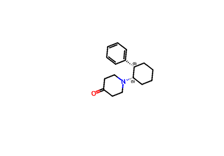 O=C1CCN([C@H]2CCCC[C@H]2c2ccccc2)CC1